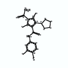 Cc1cc(NC(=O)c2c(C)c(C(=O)C(=O)O)n(C)c2C2CCCC2)ccc1F